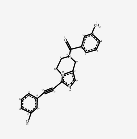 Cc1cccc(C(=O)N2CCn3c(cnc3C#Cc3cccc(Cl)c3)C2)c1